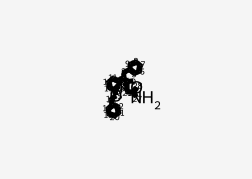 Cc1c(Cc2ccccc2)c2cccc(OCc3ccccc3)c2n1CC(N)=O